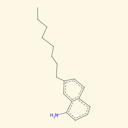 CCCCCCCCc1ccc2cccc(N)c2c1